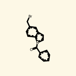 O=C(c1ccccc1)n1ccc2cc(CBr)ccc21